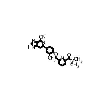 CN(C)C(=O)c1cccc(COc2ccc(-c3cc4[nH]cnc4c(C#N)n3)cc2C(F)(F)F)n1